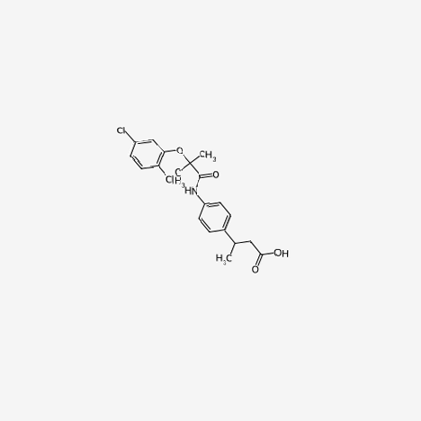 CC(CC(=O)O)c1ccc(NC(=O)C(C)(C)Oc2cc(Cl)ccc2Cl)cc1